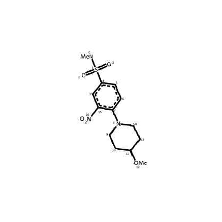 CNS(=O)(=O)c1ccc(N2CCC(OC)CC2)c([N+](=O)[O-])c1